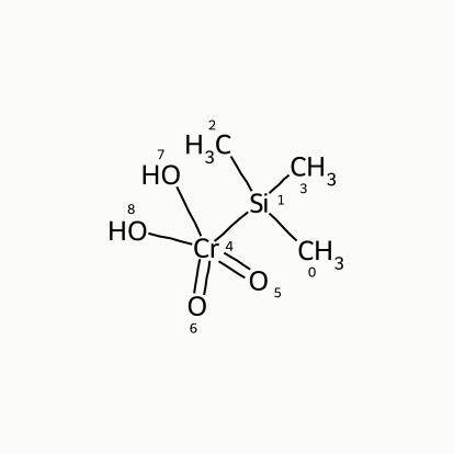 C[Si](C)(C)[Cr](=[O])(=[O])([OH])[OH]